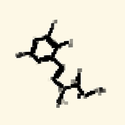 CN(N=Cc1cc(Cl)cc(Cl)c1O)C(=S)NC(C)(C)C